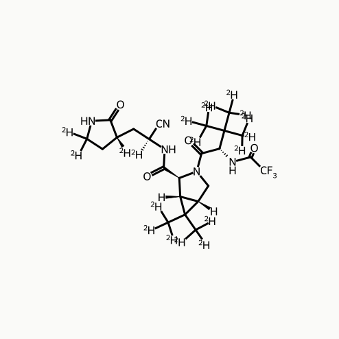 [2H]C1([2H])C[C@@]([2H])(C[C@@]([2H])(C#N)NC(=O)[C@@H]2[C@@H]3[C@H](CN2C(=O)[C@@H](NC(=O)C(F)(F)F)C(C([2H])([2H])[2H])(C([2H])([2H])[2H])C([2H])([2H])[2H])C3(C([2H])([2H])[2H])C([2H])([2H])[2H])C(=O)N1